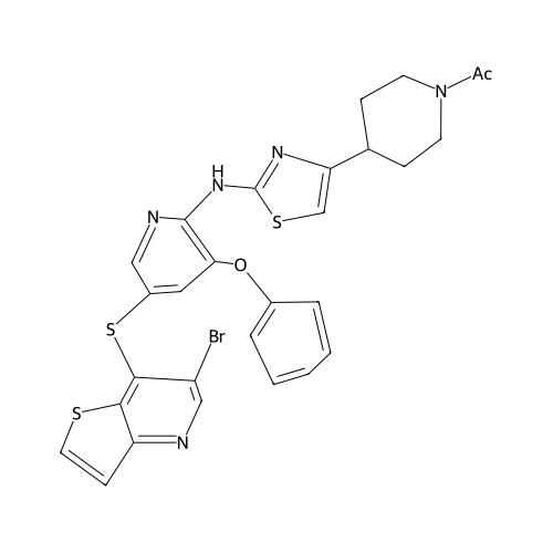 CC(=O)N1CCC(c2csc(Nc3ncc(Sc4c(Br)cnc5ccsc45)cc3Oc3ccccc3)n2)CC1